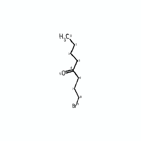 CCCCC(=O)CCCBr